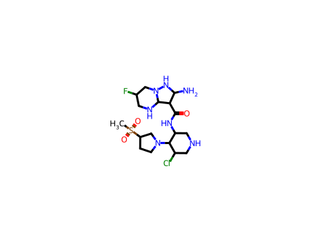 CS(=O)(=O)C1CCN(C2C(Cl)CNCC2NC(=O)C2C(N)NN3CC(F)CNC23)C1